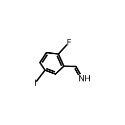 N=Cc1cc(I)ccc1F